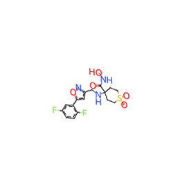 O=C(NO)C1(NCc2cc(-c3cc(F)ccc3F)on2)CCS(=O)(=O)CC1